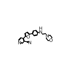 N#Cc1cnccc1-c1ccc(-c2ccc(NCCN3CCOCC3)cc2)o1